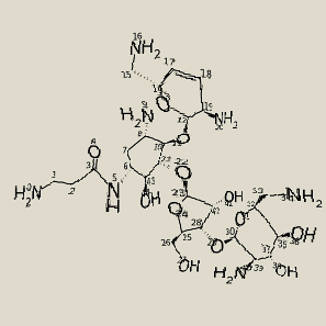 NCCC(=O)N[C@@H]1C[C@H](N)[C@@H](O[C@H]2O[C@H](CN)C=C[C@H]2N)[C@H](O[C@@H]2O[C@H](CO)[C@@H](O[C@H]3O[C@@H](CN)[C@@H](O)[C@H](O)[C@H]3N)[C@H]2O)[C@H]1O